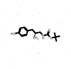 CC(C)(C)OC(=O)NC[C@@H](N)Cc1ccc(O)cc1